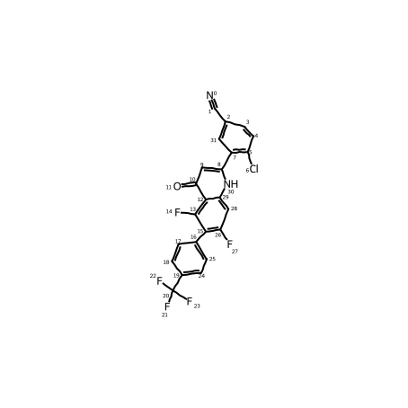 N#Cc1ccc(Cl)c(-c2cc(=O)c3c(F)c(-c4ccc(C(F)(F)F)cc4)c(F)cc3[nH]2)c1